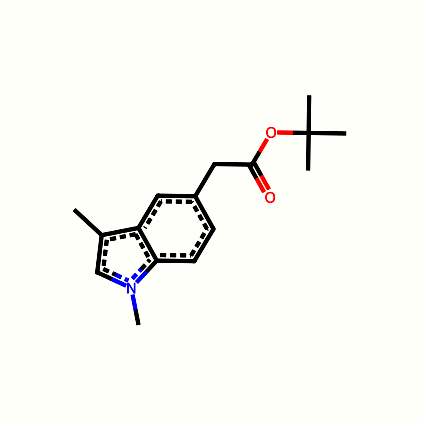 Cc1cn(C)c2ccc(CC(=O)OC(C)(C)C)cc12